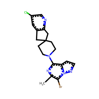 Cc1nc(N2CCC3(CC2)Cc2cc(Cl)cnc2C3)c2ccnn2c1Br